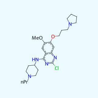 CCCN1CCC(Nc2nc(Cl)nc3cc(OCCCN4CCCC4)c(OC)cc23)CC1